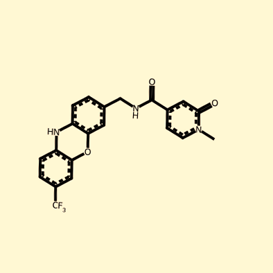 Cn1ccc(C(=O)NCc2ccc3c(c2)Oc2cc(C(F)(F)F)ccc2N3)cc1=O